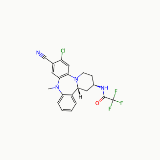 CN1c2ccccc2[C@H]2C[C@H](NC(=O)C(F)(F)F)CCN2c2cc(Cl)c(C#N)cc21